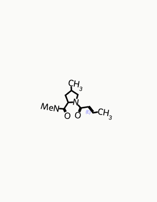 C/C=C/C(=O)N1CC(C)CC1C(=O)NC